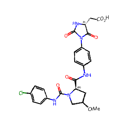 COC1C[C@H](C(=O)Nc2ccc(N3C(=O)N[C@H](CC(=O)O)C3=O)cc2)N(C(=O)Nc2ccc(Cl)cc2)C1